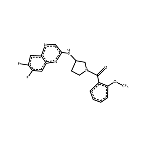 O=C(c1ccccc1OC(F)(F)F)N1CCC(Nc2cnc3cc(F)c(F)cc3n2)C1